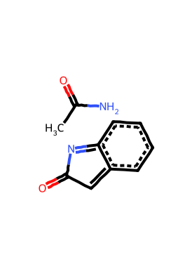 CC(N)=O.O=C1C=c2ccccc2=N1